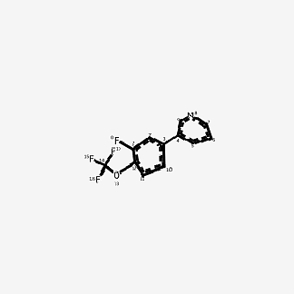 Fc1cc(-c2cc[c]nc2)ccc1OC(F)(F)F